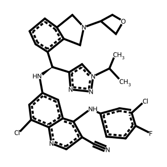 CC(C)n1cc([C@@H](Nc2cc(Cl)c3ncc(C#N)c(Nc4ccc(F)c(Cl)c4)c3c2)c2cccc3c2CN(C2COC2)C3)nn1